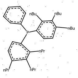 CCCCc1ccc(P(c2ccccc2)c2ccc(CCC)c(CCC)c2CCC)c(CCCC)c1CCCC